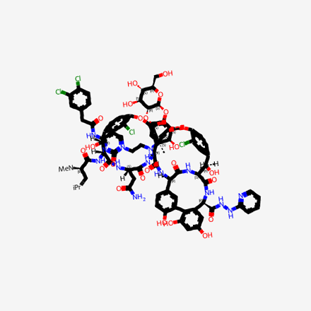 CN[C@H](CC(C)C)C(=O)N[C@H]1C(=O)N[C@@H](CC(N)=O)C(=O)N[C@H]2C(=O)N[C@H]3C(=O)N[C@H](C(=O)N[C@@H](C(=O)NNc4ccccn4)c4cc(O)cc(O)c4-c4cc3ccc4O)[C@H](O)c3ccc(c(Cl)c3)Oc3cc2cc(c3O[C@@H]2O[C@H](CO)[C@@H](O)[C@H](O)[C@H]2O[C@H]2C[C@](C)(NCCn3ccc(NC(=O)Cc4ccc(Cl)c(Cl)c4)nc3=O)[C@H](O)[C@H](C)O2)Oc2ccc(cc2Cl)[C@H]1O